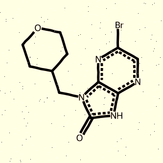 O=c1[nH]c2ncc(Br)nc2n1CC1CCOCC1